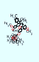 COc1ccc(C2(c3ccc(OCCO[Si](OC(C)(C)C)(OC(C)(C)C)OC(C)(C)C)cc3)C=Cc3c4c(c5cc(OC)c(OC)cc5c3O2)-c2ccc(C)cc2C4(C)C)cc1